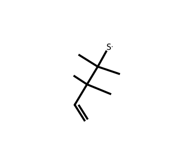 C=CC(C)(C)C(C)(C)[S]